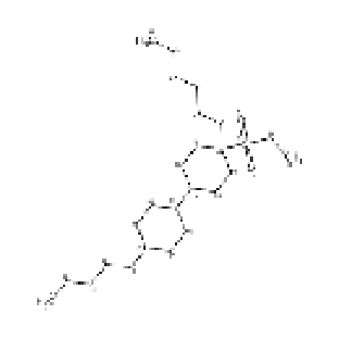 CCCCCCC1(S(=O)(=O)CC)CCC(C2CCC(CCCCC)CC2)CC1